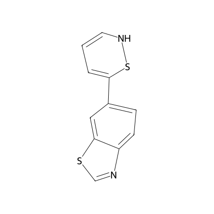 C1=CNSC(c2ccc3ncsc3c2)=C1